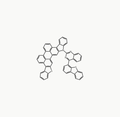 c1ccc2c(-c3cccc4c3sc3ccccc34)nc(-n3c4ccccc4c4c5cccc6c7cccc8c9c(cc(c(cc43)c65)c78)sc3ccccc39)nc2c1